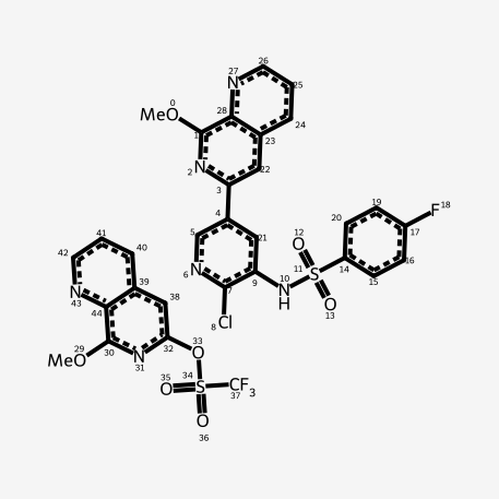 COc1nc(-c2cnc(Cl)c(NS(=O)(=O)c3ccc(F)cc3)c2)cc2cccnc12.COc1nc(OS(=O)(=O)C(F)(F)F)cc2cccnc12